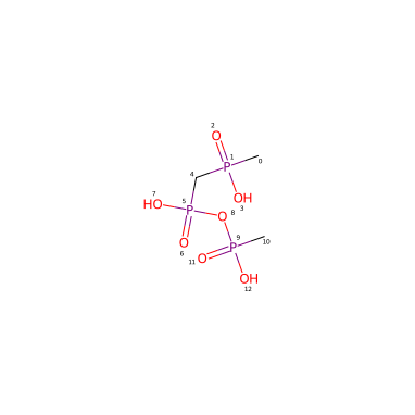 CP(=O)(O)CP(=O)(O)OP(C)(=O)O